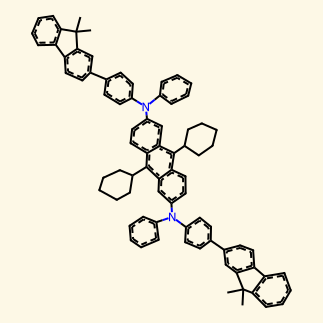 CC1(C)c2ccccc2-c2ccc(-c3ccc(N(c4ccccc4)c4ccc5c(C6CCCCC6)c6cc(N(c7ccccc7)c7ccc(-c8ccc9c(c8)C(C)(C)c8ccccc8-9)cc7)ccc6c(C6CCCCC6)c5c4)cc3)cc21